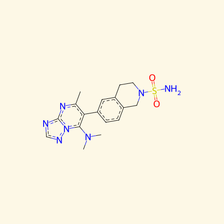 Cc1nc2ncnn2c(N(C)C)c1-c1ccc2c(c1)CCN(S(N)(=O)=O)C2